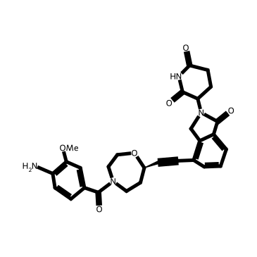 COc1cc(C(=O)N2CCO[C@@H](C#Cc3cccc4c3CN(C3CCC(=O)NC3=O)C4=O)CC2)ccc1N